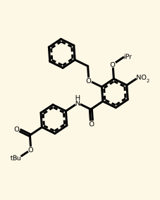 CC(C)Oc1c([N+](=O)[O-])ccc(C(=O)Nc2ccc(C(=O)OC(C)(C)C)cc2)c1OCc1ccccc1